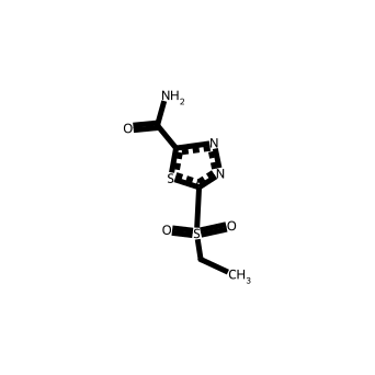 CCS(=O)(=O)c1nnc(C(N)=O)s1